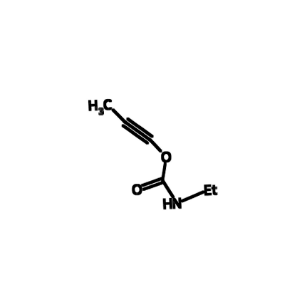 [CH2]CNC(=O)OC#CC